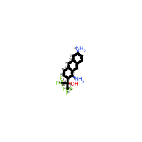 Nc1ccc2cc3c(N)c(C(O)(C(F)(F)F)C(F)(F)F)ccc3cc2c1